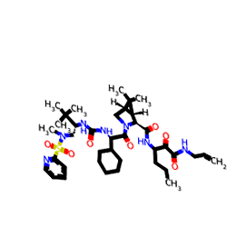 C=CCNC(=O)C(=O)C(CCC)NC(=O)[C@@H]1[C@@H]2[C@H](CN1C(=O)[C@@H](NC(=O)N[C@H](CN(C)S(=O)(=O)c1ccccn1)C(C)(C)C)C1CCCCC1)C2(C)C